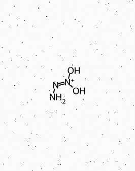 NN=[N+](O)O